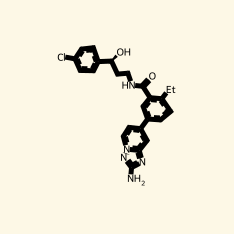 CCc1ccc(-c2ccn3nc(N)nc3c2)cc1C(=O)NCC[C@H](O)c1ccc(Cl)cc1